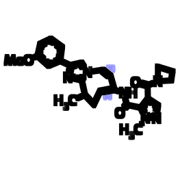 COc1cccc(-c2cn3c(n2)C(C)C/C=C(NC(=O)c2c(C(=O)N4CCC4)cnn2C)/C=C\3)c1